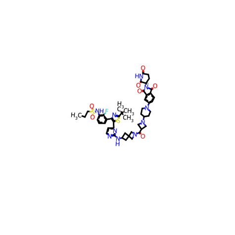 CCCS(=O)(=O)Nc1cccc(-c2nc(C(C)(C)C)sc2-c2ccnc(NC3CC4(C3)CN(C(=O)C3CN(C5CCN(c6ccc7c(c6)C(=O)N([C@@H]6CCC(=O)NC6=O)C7=O)CC5)C3)C4)n2)c1F